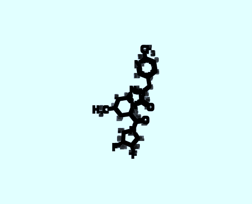 CC1Cc2nn(Cc3ccc(C(F)(F)F)nc3)c(=O)n2C(C(=O)N2C[C@@H](F)[C@@H](F)C2)C1